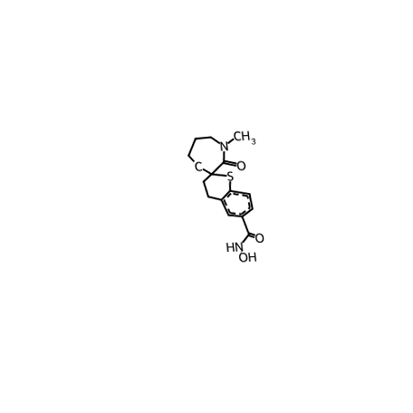 CN1CCCCC2(CCc3cc(C(=O)NO)ccc3S2)C1=O